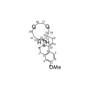 COc1ccc2c(c1)CC[C@@H]1C2=CC[C@]2(C)COCCOCCC[C@@H]12